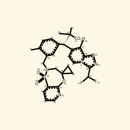 Cc1ccc([C@@H](c2ccn3c(C(F)F)nnc3c2C)C(C)(C)C(=O)O)cc1CN1CC2(CC2)Oc2ncccc2S1(=O)=O